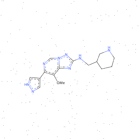 COc1c(-c2cn[nH]c2)ncn2nc(NCC3CCCNC3)nc12